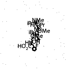 CC[C@H](C)[C@@H]([C@@H](CC(=O)N1C2C[C@@H]2C[C@H]1[C@H](OC)[C@@H](C)C(=O)N[C@@H](Cc1ccccc1F)C(=O)O)OC)N(C)C(=O)[C@@H](NC(=O)[C@@H](NC)C(C)C)C(C)C